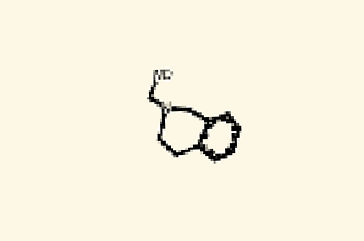 O=NCN1CCc2ccccc2C1